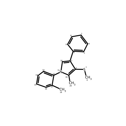 CSc1c(-c2ccccc2)cn(-c2ccccc2C)c1C